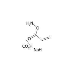 C=CC(=O)ON.CC(=O)O.[NaH]